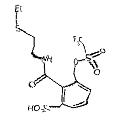 CCSCCNC(=O)c1c(OS(=O)(=O)C(F)(F)F)cccc1C(=O)O